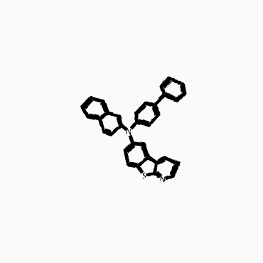 c1ccc(-c2ccc(N(c3ccc4ccccc4c3)c3ccc4sc5ncccc5c4c3)cc2)cc1